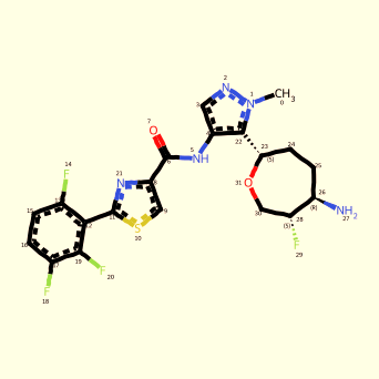 Cn1ncc(NC(=O)c2csc(-c3c(F)ccc(F)c3F)n2)c1[C@@H]1CC[C@@H](N)[C@H](F)CO1